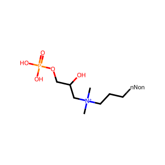 CCCCCCCCCCCC[N+](C)(C)CC(O)COP(=O)(O)O